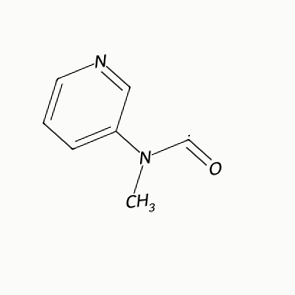 CN([C]=O)c1cccnc1